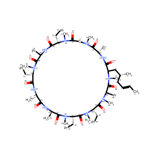 C/C=C/C[C@@H](C)CC1C(=O)N[C@@H](CC)C(=O)N(C)CC(=O)N(C)[C@@H](CC(C)C)C(=O)NC(C(C)C)C(=O)N(C)[C@@H](CC(C)C)C(=O)N[C@@H](C)C(=O)N[C@H](C)C(=O)N(C)[C@@H](CC(C)C)C(=O)N(C)[C@@H](CC(C)C)C(=O)N(C)C(C(C)C)C(=O)N1C